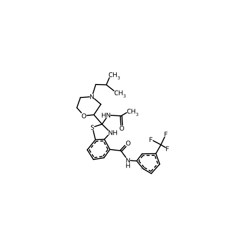 CC(=O)NC1(C2CN(CC(C)C)CCO2)Nc2c(cccc2C(=O)Nc2[c]ccc(C(F)(F)F)c2)S1